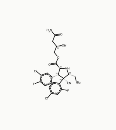 CC(C)(C)C[C@H]1N[C@H](C(=O)OC[C@H](O)CC(N)=O)[C@@H](c2ccc(F)c(Cl)c2)[C@]1(C#N)c1ccc(Cl)cc1F